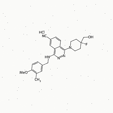 COc1ccc(CNc2nnc(N3CCC(F)(CO)CC3)c3ccc(C#N)cc23)cc1C.Cl